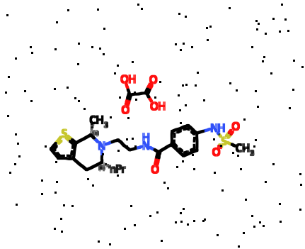 CCC[C@@H]1Cc2ccsc2[C@H](C)N1CCNC(=O)c1ccc(NS(C)(=O)=O)cc1.O=C(O)C(=O)O